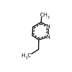 CCc1ccc(C)nn1